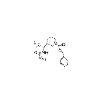 CC(C)(C)[S@@+]([O-])N[C@@H](C1CCCN(C(=O)OCc2ccccc2)C1)C(F)(F)F